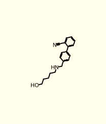 N#Cc1ccccc1-c1ccc(CNCCCCCO)cc1